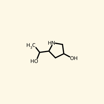 CC(O)C1CC(O)CN1